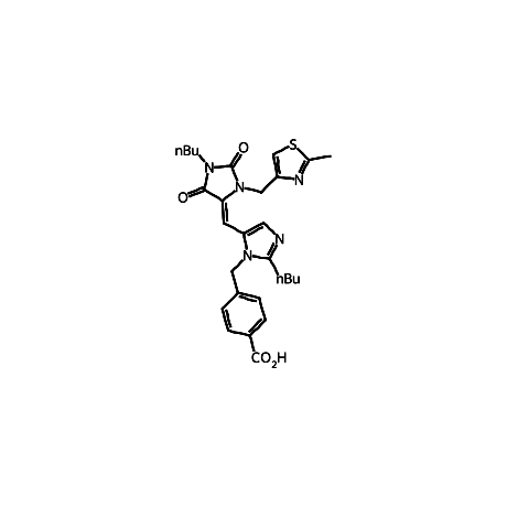 CCCCc1ncc(/C=C2/C(=O)N(CCCC)C(=O)N2Cc2csc(C)n2)n1Cc1ccc(C(=O)O)cc1